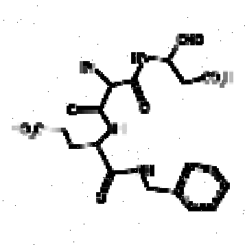 CC(C)C(C(=O)NC(C=O)CC(=O)O)C(=O)NC(CCC(=O)O)C(=O)NCc1ccccc1